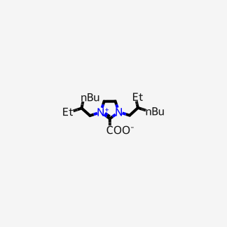 CCCCC(CC)CN1CC[N+](CC(CC)CCCC)=C1C(=O)[O-]